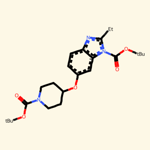 CCc1nc2ccc(OC3CCN(C(=O)OC(C)(C)C)CC3)cc2n1C(=O)OC(C)(C)C